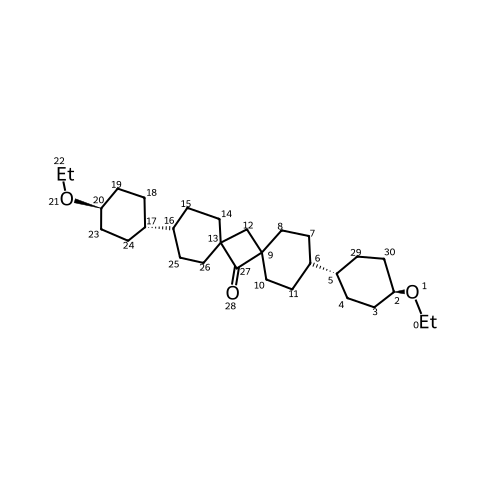 CCO[C@H]1CC[C@H](C2CCC3(CC2)CC2(CCC([C@H]4CC[C@H](OCC)CC4)CC2)C3=O)CC1